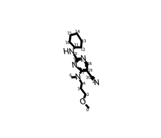 COCCCN(C)c1nc(NC2CCCCC2)ncc1C#N